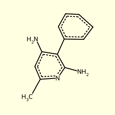 Cc1cc(N)c(-c2ccccc2)c(N)n1